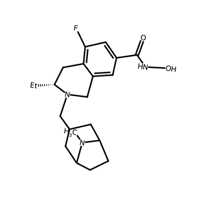 CC[C@@H]1Cc2c(F)cc(C(=O)NO)cc2CN1CC1CC2CCC(C1)N2C